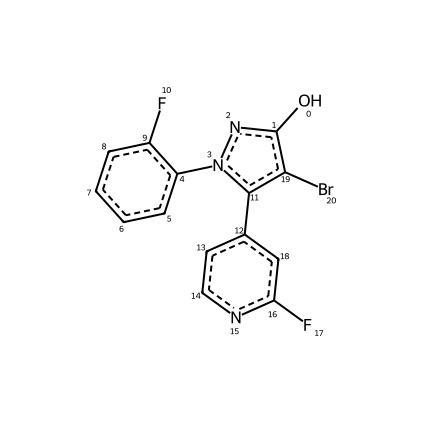 Oc1nn(-c2ccccc2F)c(-c2ccnc(F)c2)c1Br